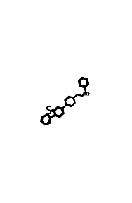 C[C@H](CCC1C=CC(c2ccc3c(c2)sc2ccccc23)=CC1)c1ccccc1